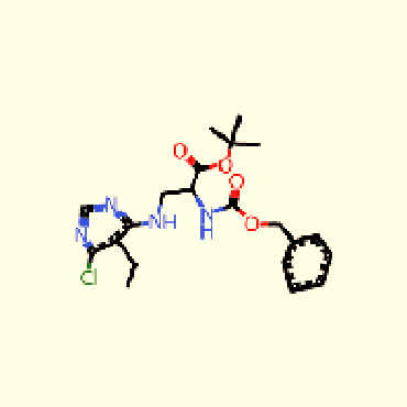 CCc1c(Cl)ncnc1NCC(NC(=O)OCc1ccccc1)C(=O)OC(C)(C)C